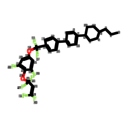 CCCC1CCC(c2ccc(-c3ccc(C(F)(F)Oc4cc(F)c(OC(F)(F)C=C(F)F)c(F)c4)cc3)cc2)CC1